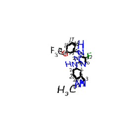 Cn1ncc2cc(Nc3ncc(F)c(Nc4cccc(OC(F)(F)F)c4)n3)ccc21